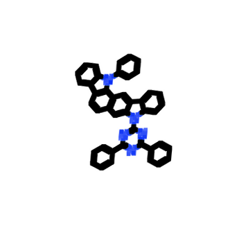 c1ccc(-c2nc(-c3ccccc3)nc(-n3c4ccccc4c4cc5c(ccc6c7ccccc7n(-c7ccccc7)c56)cc43)n2)cc1